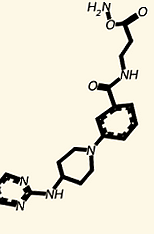 NOC(=O)CCNC(=O)c1cccc(N2CCC(Nc3ncccn3)CC2)c1